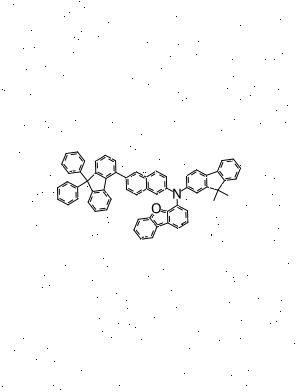 CC1(C)c2ccccc2-c2ccc(N(c3ccc4cc(-c5cccc6c5-c5ccccc5C6(c5ccccc5)c5ccccc5)ccc4c3)c3cccc4c3oc3ccccc34)cc21